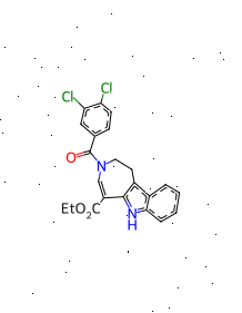 CCOC(=O)C1=CN(C(=O)c2ccc(Cl)c(Cl)c2)CCc2c1[nH]c1ccccc21